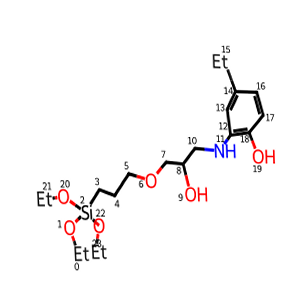 CCO[Si](CCCOCC(O)CNc1cc(CC)ccc1O)(OCC)OCC